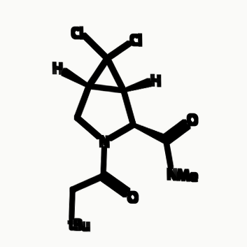 CNC(=O)[C@@H]1[C@@H]2[C@H](CN1C(=O)CC(C)(C)C)C2(Cl)Cl